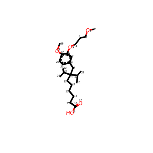 COCCCOc1cc(CC(CCCCCC(=O)O)(C(C)C)C(C)C)ccc1OC